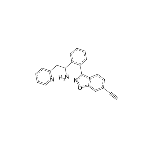 C#Cc1ccc2c(-c3ccccc3C(N)Cc3ccccn3)noc2c1